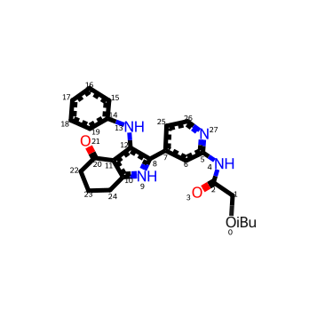 CC(C)COCC(=O)Nc1cc(-c2[nH]c3c(c2Nc2ccccc2)C(=O)CCC3)ccn1